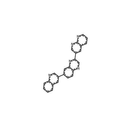 c1ccc2ncc(-c3ccc4ncc(-c5cnc6ncccc6c5)nc4c3)cc2c1